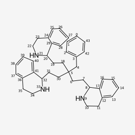 c1ccc(CC(CCC2NCCc3ccccc32)(CCC2NCCc3ccccc32)CCC2NCCc3ccccc32)cc1